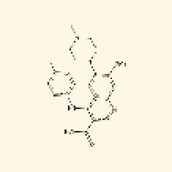 COc1cc2ncc(C(N)=O)c(Nc3ccc(Cl)cc3)c2cc1N1CCN(C)CC1